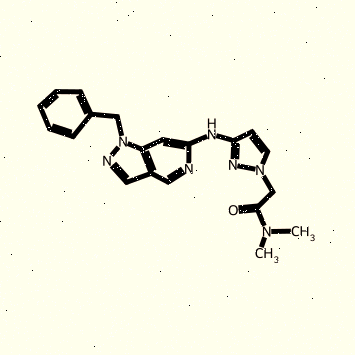 CN(C)C(=O)Cn1ccc(Nc2cc3c(cn2)cnn3Cc2ccccc2)n1